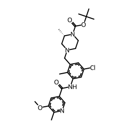 COc1cc(C(=O)Nc2cc(Cl)cc(CN3CCN(C(=O)OC(C)(C)C)[C@@H](C)C3)c2C)cnc1C